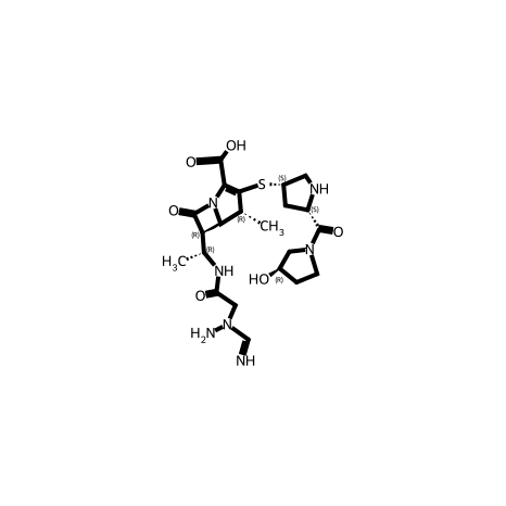 C[C@H]1C(S[C@@H]2CN[C@H](C(=O)N3CC[C@@H](O)C3)C2)=C(C(=O)O)N2C(=O)[C@H]([C@@H](C)NC(=O)CN(N)C=N)C12